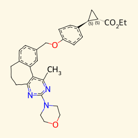 CCOC(=O)[C@H]1C[C@@H]1c1ccc(OCc2ccc3c(c2)-c2c(C)nc(N4CCOCC4)nc2CCC3)cc1